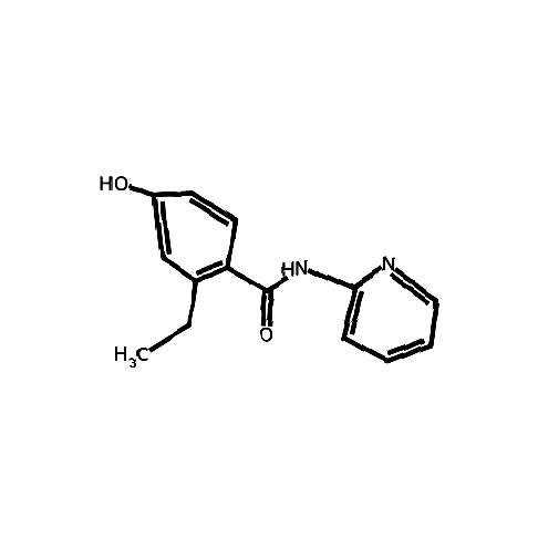 CCc1cc(O)ccc1C(=O)Nc1ccccn1